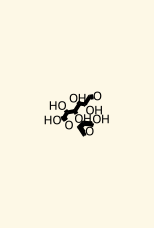 O=CC(O)C(O)C(O)C(O)C(=O)O.Oc1ccco1